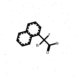 O=C(Br)C(F)(Br)c1cccc2ccccc12